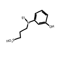 CCN(CCCS(=O)(=O)O)c1cccc(O)c1